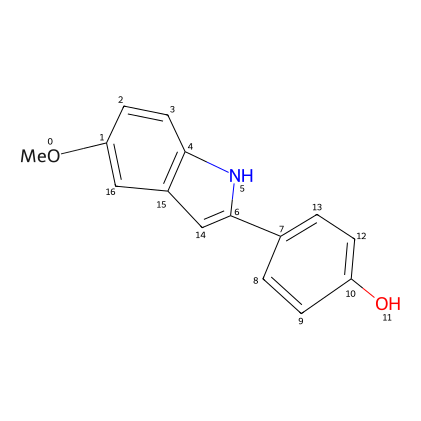 COc1ccc2[nH]c(-c3ccc(O)cc3)cc2c1